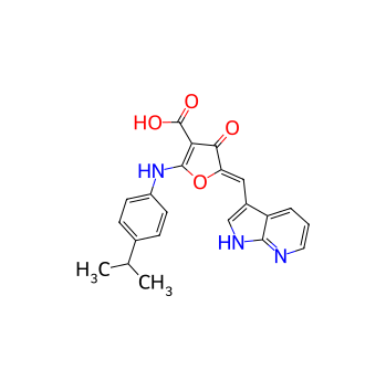 CC(C)c1ccc(NC2=C(C(=O)O)C(=O)C(=Cc3c[nH]c4ncccc34)O2)cc1